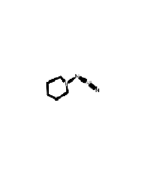 [N-]=[N+]=NN1CCCCC1